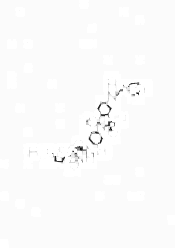 Cc1ccc(S(=O)(=O)NC(=O)Nc2ccc(-n3c(=O)[nH]c4cc(NCCN5CCOCC5)ccc4c3=O)c(F)c2)s1